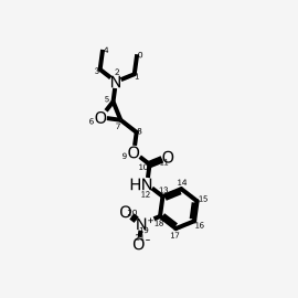 CCN(CC)C1OC1COC(=O)Nc1ccccc1[N+](=O)[O-]